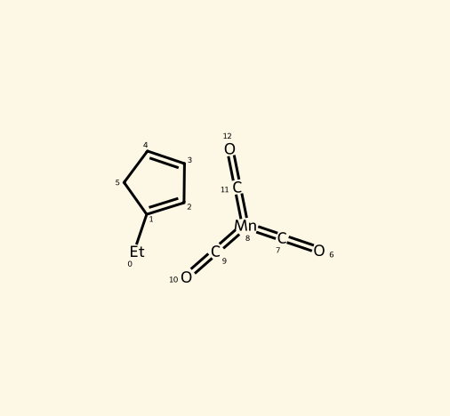 CCC1=CC=CC1.O=[C]=[Mn](=[C]=O)=[C]=O